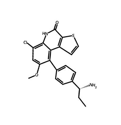 CC[C@@H](N)c1ccc(-c2c(OC)cc(Cl)c3[nH]c(=O)c4sccc4c23)cc1